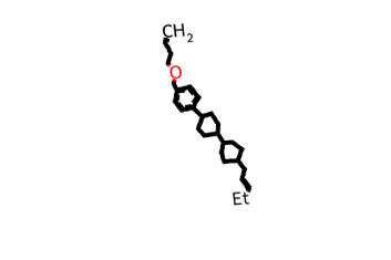 C=CCCOCc1ccc(C2CCC(C3CCC(CC=CCC)CC3)CC2)cc1